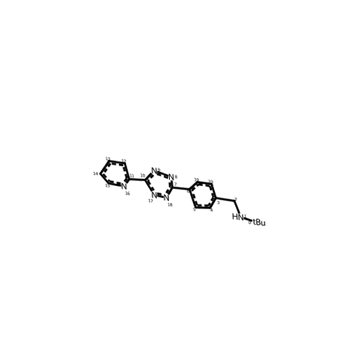 CC(C)(C)NCc1ccc(-c2nnc(-c3ccccn3)nn2)cc1